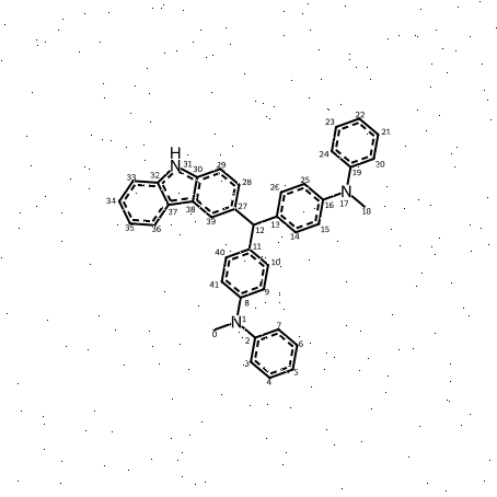 CN(c1ccccc1)c1ccc(C(c2ccc(N(C)c3ccccc3)cc2)c2ccc3[nH]c4ccccc4c3c2)cc1